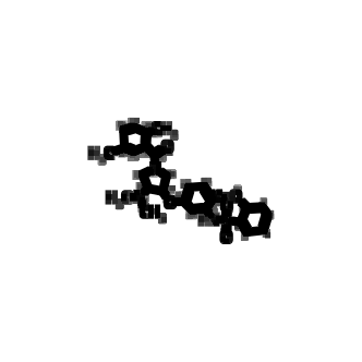 COc1ccccc1S(=O)(=O)Nc1cccc(OC2CN(C(=O)c3cc(C)ccc3C)CC2N(C)C)c1